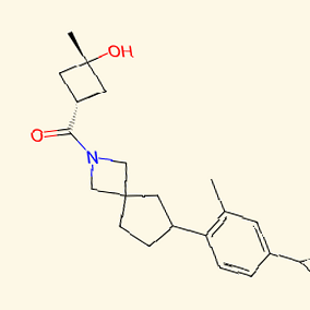 Cc1cc(C2CC2)ccc1C1CCC2(C1)CN(C(=O)[C@H]1C[C@@](C)(O)C1)C2